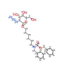 [N-]=[N+]=NC1C(O)[C@@H](O)C(CO)O[C@H]1OCCCCCCN(Cc1ccccc1)C(=O)OCc1ccccc1